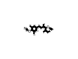 C#COC(/C(C)=C\C)=C(C)/C=C/c1cc(C)c(OC#N)c(C)c1